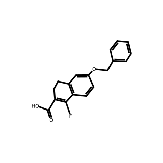 O=C(O)C1=C(F)c2ccc(OCc3ccccc3)cc2CC1